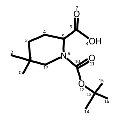 CC1(C)CCC(C(=O)O)N(C(=O)OC(C)(C)C)C1